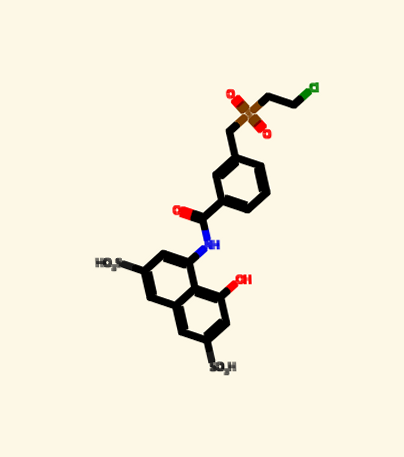 O=C(Nc1cc(S(=O)(=O)O)cc2cc(S(=O)(=O)O)cc(O)c12)c1cccc(CS(=O)(=O)CCCl)c1